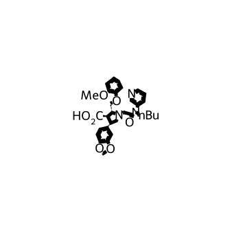 CCCCN(C(=O)CN1C[C@H](c2ccc3c(c2)OCO3)[C@@H](C(=O)O)[C@@H]1COc1ccccc1OC)c1cccnc1